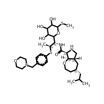 CSC1OC([C@H](NC(=O)[C@H]2NC[C@@H]3C[C@H](CC(C)C)CCO[C@H]32)[C@H](C)Sc2ccc(CN3CCOCC3)cc2)C(O)C(O)C1O